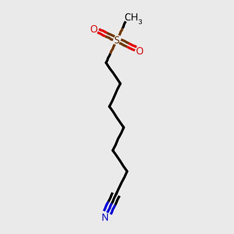 CS(=O)(=O)CCCCCCC#N